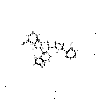 O=C(c1nnc(-c2ncccc2F)o1)N1CCc2[nH]cnc2[C@H]1c1cc2cccc(F)n2n1